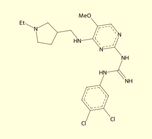 CCN1CCC(CNc2nc(NC(=N)Nc3ccc(Cl)c(Cl)c3)ncc2OC)C1